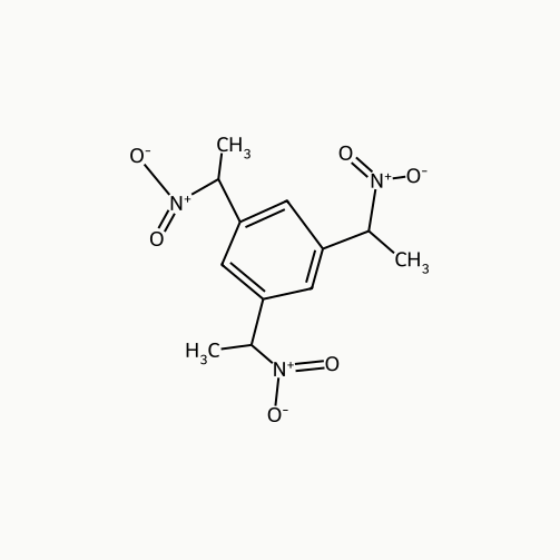 CC(c1cc(C(C)[N+](=O)[O-])cc(C(C)[N+](=O)[O-])c1)[N+](=O)[O-]